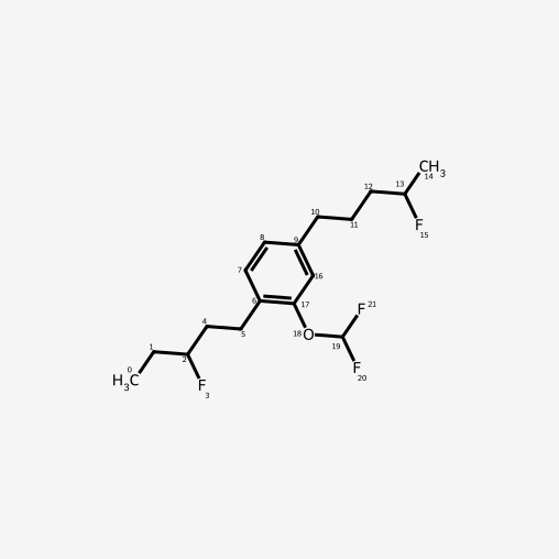 CCC(F)CCc1ccc(CCCC(C)F)cc1OC(F)F